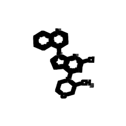 CC1COCCN1c1nc(Cl)nc2c1ccn2-c1ccnc2ccccc12